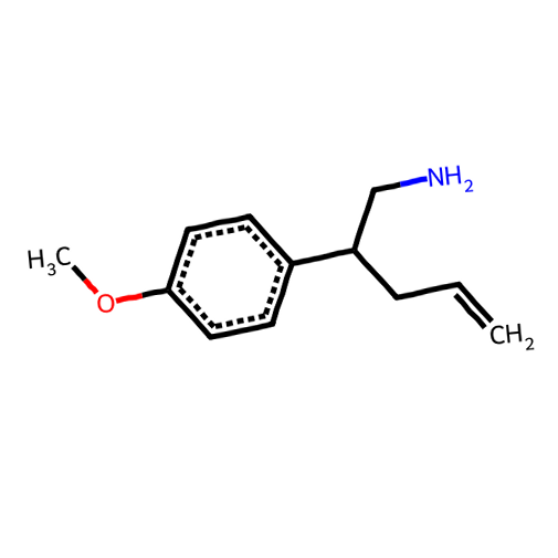 C=CCC(CN)c1ccc(OC)cc1